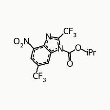 CC(C)OC(=O)n1c(C(F)(F)F)nc2c([N+](=O)[O-])cc(C(F)(F)F)cc21